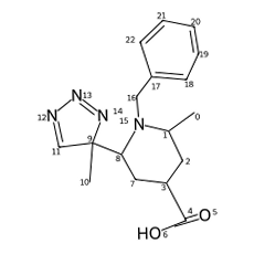 CC1CC(C(=O)O)CC(C2(C)C=NN=N2)N1Cc1ccccc1